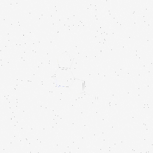 Cc1cc2c(ncc3sccc32)s1